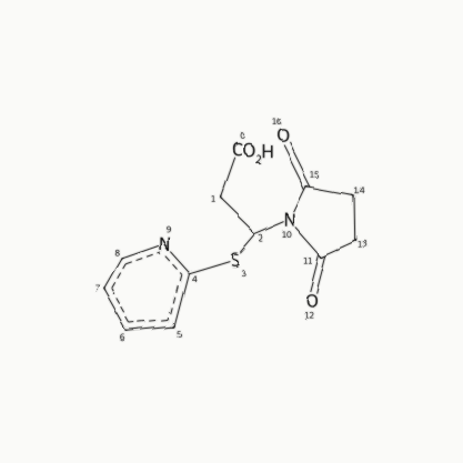 O=C(O)CC(Sc1ccccn1)N1C(=O)CCC1=O